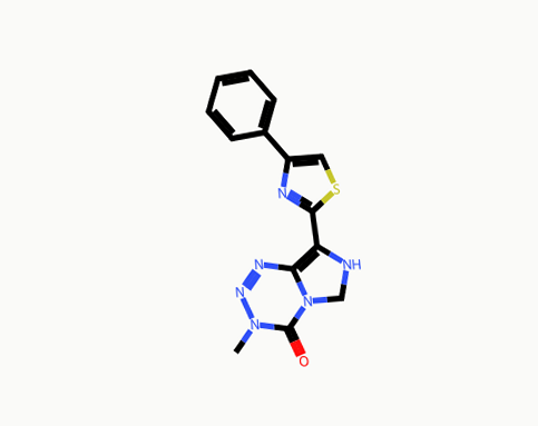 CN1N=NC2=C(c3nc(-c4ccccc4)cs3)NCN2C1=O